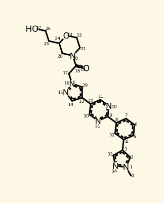 Cn1cc(-c2cccc(-c3ncc(-c4cnn(CC(=O)N5CCOC(CCO)C5)c4)cn3)c2)cn1